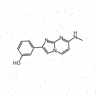 CNc1ccn2cc(-c3cccc(O)c3)nc2n1